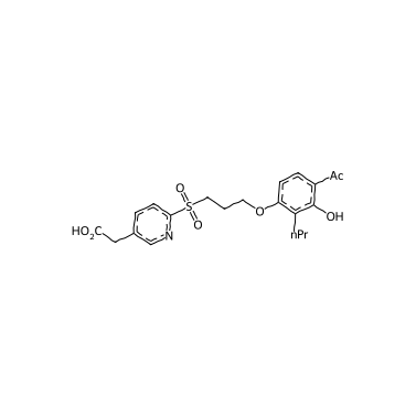 CCCc1c(OCCCS(=O)(=O)c2ccc(CC(=O)O)cn2)ccc(C(C)=O)c1O